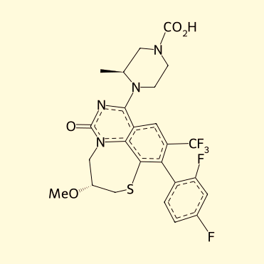 CO[C@H]1CSc2c(-c3ccc(F)cc3F)c(C(F)(F)F)cc3c(N4CCN(C(=O)O)C[C@@H]4C)nc(=O)n(c23)C1